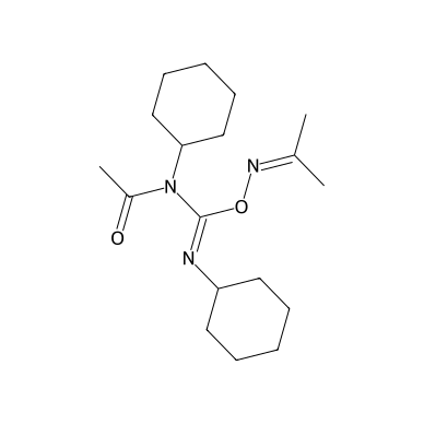 CC(=O)N(C(=NC1CCCCC1)ON=C(C)C)C1CCCCC1